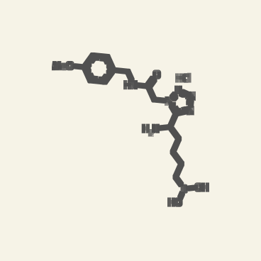 COc1ccc(CNC(=O)Cn2nnnc2C(N)CCCCB(O)O)cc1.Cl